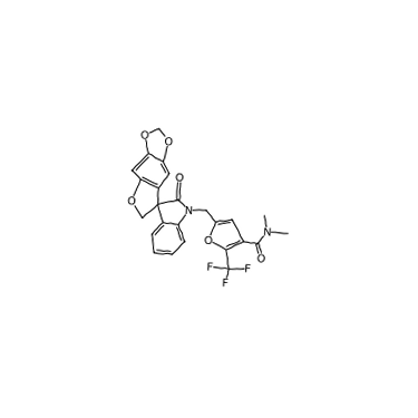 CN(C)C(=O)c1cc(CN2C(=O)C3(COc4cc5c(cc43)OCO5)c3ccccc32)oc1C(F)(F)F